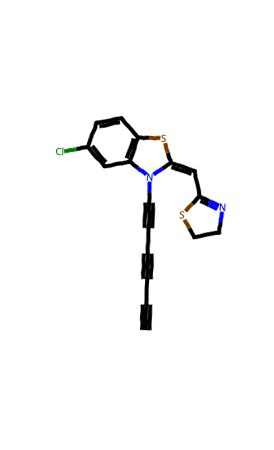 C#CC#CC#CN1C(=CC2=NCCS2)Sc2ccc(Cl)cc21